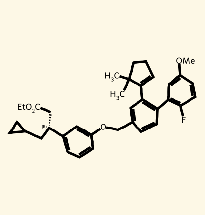 CCOC(=O)C[C@@H](CC1CC1)c1cccc(OCc2ccc(-c3cc(OC)ccc3F)c(C3=CCCC3(C)C)c2)c1